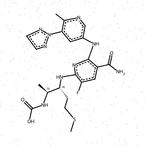 CSCC[C@@H](Nc1nc(Nc2cnc(C)c(-n3nccn3)c2)c(C(N)=O)cc1F)[C@H](C)NC(=O)O